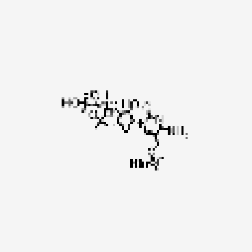 CCC(C)(C[C@H]1O[C@@H](n2cc(CO[Si](C)(C)C(C)(C)C)c(N)nc2=O)[C@H](O)[C@@H]1O)OP(=O)(O)C(C)(O)CC